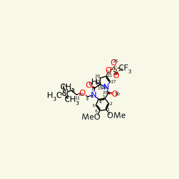 COc1cc2c(cc1OC)N(COCC[Si](C)(C)C)C(=O)[C@@H]1CC(OS(=O)(=O)C(F)(F)F)=CN1C2=O